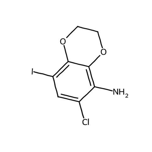 Nc1c(Cl)cc(I)c2c1OCCO2